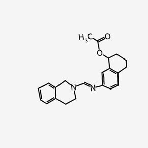 CC(=O)OC1CCCc2ccc(N=CN3CCc4ccccc4C3)cc21